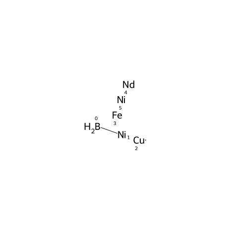 [BH2][Ni].[Cu].[Fe].[Nd].[Ni]